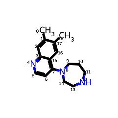 Cc1cc2nccc(N3CCCNCC3)c2cc1C